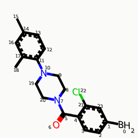 Bc1ccc(C(=O)N2CCN(c3ccc(C)cc3C)CC2)c(Cl)c1